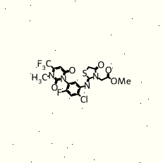 COC(=O)CN1C(=O)CS/C1=N\c1cc(-n2c(=O)cc(C(F)(F)F)n(C)c2=O)c(F)cc1Cl